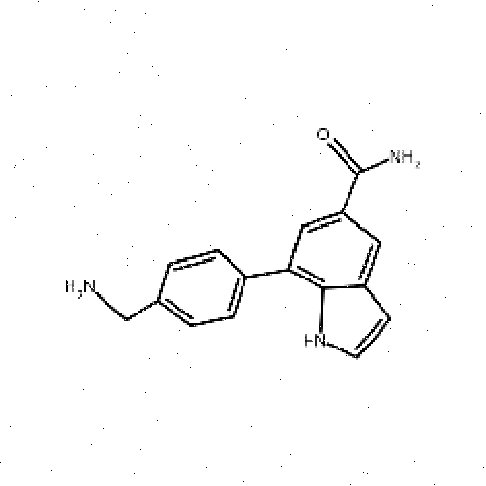 NCc1ccc(-c2cc(C(N)=O)cc3cc[nH]c23)cc1